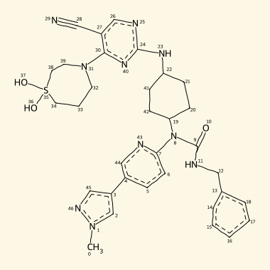 Cn1cc(-c2ccc(N(C(=O)NCc3ccccc3)C3CCC(Nc4ncc(C#N)c(N5CCCS(O)(O)CC5)n4)CC3)nc2)cn1